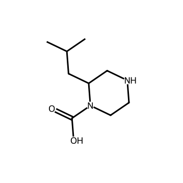 CC(C)CC1CNCCN1C(=O)O